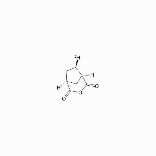 [2H][C@@H]1C[C@H]2C[C@@H]1C(=O)OC2=O